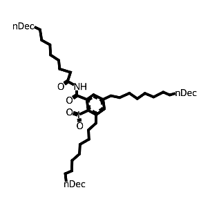 CCCCCCCCCCCCCCCCCCc1cc(CCCCCCCCCCCCCCCCCC)c(I(=O)=O)c(C(=O)NC(=O)CCCCCCCCCCCCCCCCC)c1